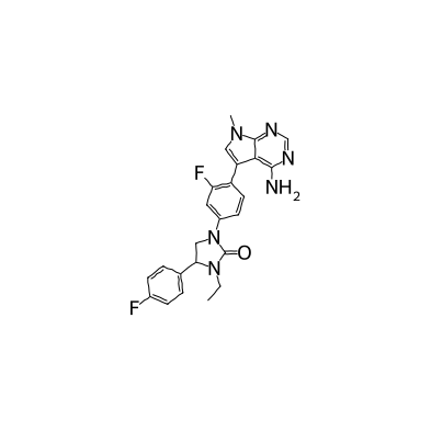 CCN1C(=O)N(c2ccc(-c3cn(C)c4ncnc(N)c34)c(F)c2)CC1c1ccc(F)cc1